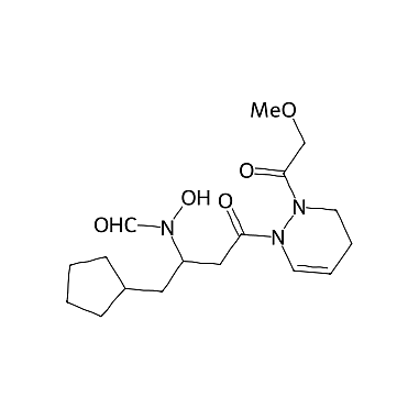 COCC(=O)N1CCC=CN1C(=O)CC(CC1CCCC1)N(O)C=O